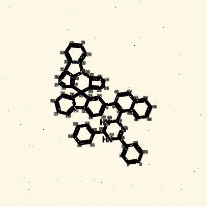 c1ccc(C2=NC(c3c(-c4ccc5c(c4)C4(c6ccccc6-5)c5ccccc5-n5c6ccccc6c6cccc4c65)ccc4ccccc34)NC(c3ccccc3)N2)cc1